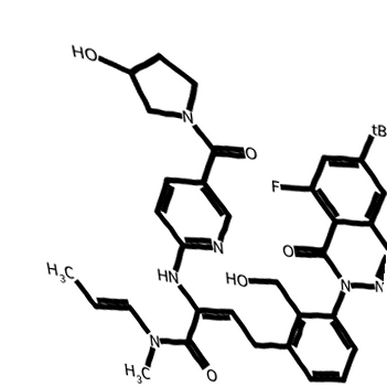 C/C=C/N(C)C(=O)/C(=C\Cc1cccc(-n2ncc3cc(C(C)(C)C)cc(F)c3c2=O)c1CO)Nc1ccc(C(=O)N2CCC(O)C2)cn1